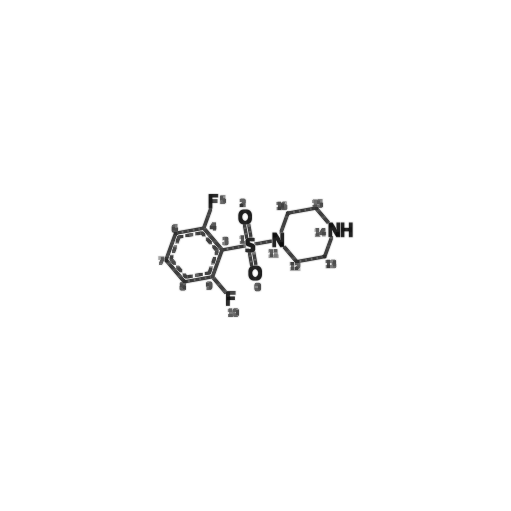 O=S(=O)(c1c(F)cccc1F)N1CCNCC1